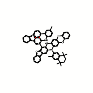 Cc1ccc(Nc2cc3oc4ccccc4c3cc2-c2c3c(cc4c2oc2ccccc24)N(c2cc4c(cc2C)C(C)(C)CCC4(C)C)c2cc4c(cc2B3)Oc2ccccc2O4)c(-c2ccccc2)c1